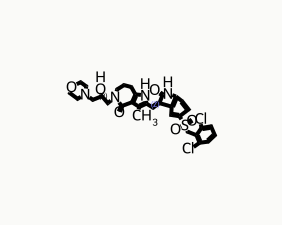 Cc1c(/C=C2\C(=O)Nc3ccc(S(=O)(=O)Cc4c(Cl)cccc4Cl)cc32)[nH]c2c1C(=O)N(C[C@H](O)CN1CCOCC1)CCC2